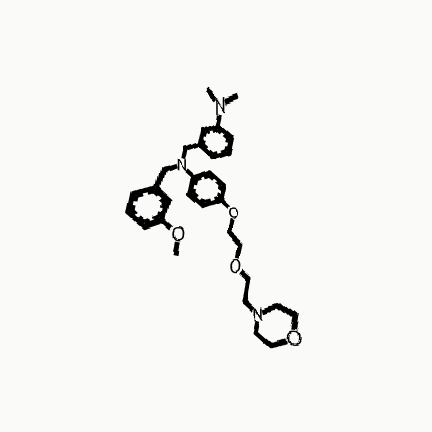 COc1cccc(CN(Cc2cccc(N(C)C)c2)c2ccc(OCCOCCN3CCOCC3)cc2)c1